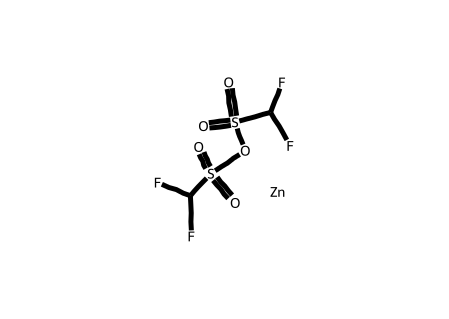 O=S(=O)(OS(=O)(=O)C(F)F)C(F)F.[Zn]